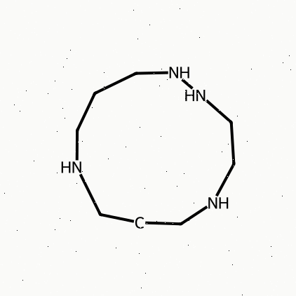 C1CNCCCNNCCNC1